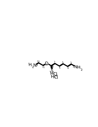 Cl.Cl.NCCCCCC(=S)OCCN